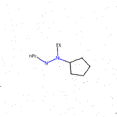 CCC[N]N(CC)C1CCCC1